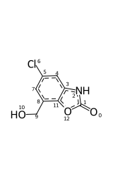 O=c1[nH]c2cc(Cl)cc(CO)c2o1